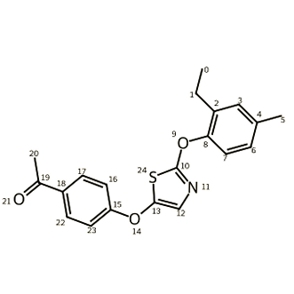 CCc1cc(C)ccc1Oc1ncc(Oc2ccc(C(C)=O)cc2)s1